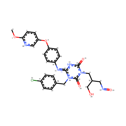 COc1ccc(Oc2ccc(/N=c3\[nH]c(=O)n(CC(CO)CN=O)c(=O)n3Cc3ccc(Cl)cc3)cc2)cn1